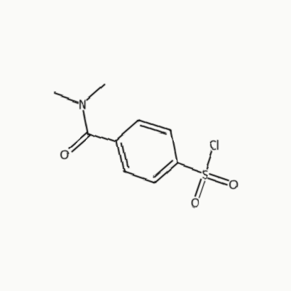 CN(C)C(=O)c1ccc(S(=O)(=O)Cl)cc1